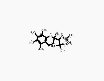 Cc1c(C)c2c(c(C)c1O)CCC(C)(C(O[SiH](C)C)C(C)(C)C)O2